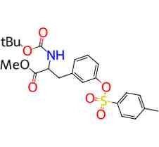 COC(=O)C(Cc1cccc(OS(=O)(=O)c2ccc(C)cc2)c1)NC(=O)OC(C)(C)C